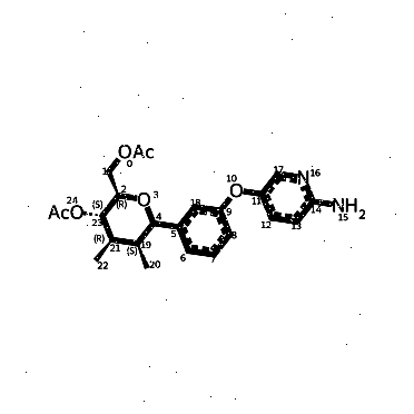 CC(=O)OC[C@H]1OC(c2cccc(Oc3ccc(N)nc3)c2)[C@@H](C)[C@@H](C)[C@@H]1OC(C)=O